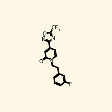 O=c1cc(-c2noc(C(F)(F)F)n2)ccn1CCc1cccc(F)c1